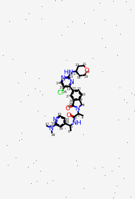 CC(NC(=O)C(C)N1Cc2ccc(-c3nc(NC4CCOCC4)ncc3Cl)cc2C1=O)c1ccnc(N(C)C)c1